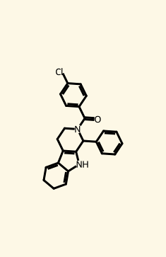 O=C(c1ccc(Cl)cc1)N1CCc2c([nH]c3c2=CCCC=3)C1c1ccccc1